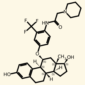 C[C@]12C[C@H](Oc3ccc(NC(=O)CN4CCCCC4)c(C(F)(F)F)c3)[C@@H]3c4ccc(O)cc4CC[C@H]3[C@@H]1CC[C@@H]2O